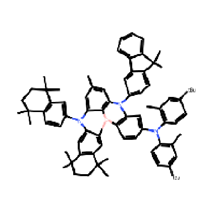 Cc1cc2c3c(c1)N(c1ccc4c(c1)C(C)(C)CCC4(C)C)c1cc4c(cc1B3c1ccc(N(c3ccc(C(C)(C)C)cc3C)c3ccc(C(C)(C)C)cc3C)cc1N2c1ccc2c(c1)-c1ccccc1C2(C)C)C(C)(C)CCC4(C)C